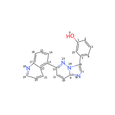 Oc1cccc(-c2cnc3ccc(-c4cccc5ncccc45)nn23)c1